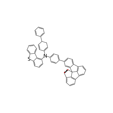 C1=CC(c2ccccc2)CC=C1N(c1ccc(-c2ccc3c(c2)C24c5ccccc5-c5cccc(c52)-c2cccc-3c24)cc1)c1cccc2sc3ccccc3c12